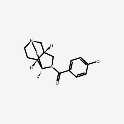 O=C(c1ccc(Cl)cc1)N1C[C@H]2C[N@]3CC[C@H]2[C@H]1C3